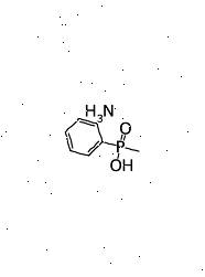 CP(=O)(O)c1ccccc1.N